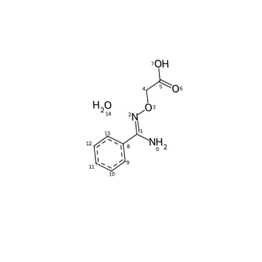 NC(=NOCC(=O)O)c1ccccc1.O